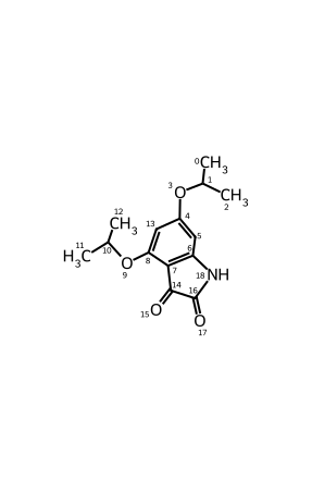 CC(C)Oc1cc2c(c(OC(C)C)c1)C(=O)C(=O)N2